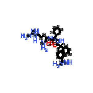 C[C@@](Cc1ccc(C(=N)N)cc1)(C(=O)N[C@H](C(=O)N[C@@H](CCCNC(=N)N)C(N)=O)C1CCCCC1)c1ccccc1